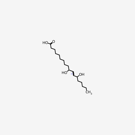 CCCCCC(O)/C=C/C(O)CCCCCCCCC(=O)O